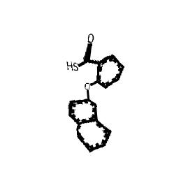 O=C(S)c1ccccc1Oc1ccc2ccccc2c1